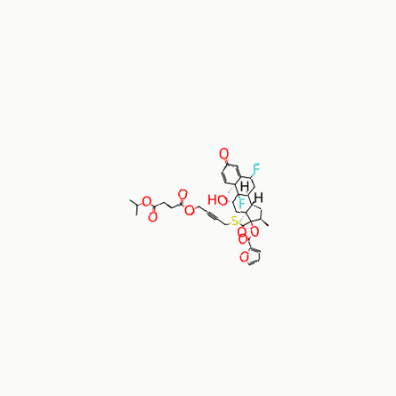 CC(C)OC(=O)CCC(=O)OCC#CCSC(=O)[C@@]1(OC(=O)c2ccco2)[C@H](C)C[C@H]2[C@@H]3C[C@H](F)C4=CC(=O)C=C[C@]4(C)[C@@]3(F)[C@@H](O)C[C@@]21C